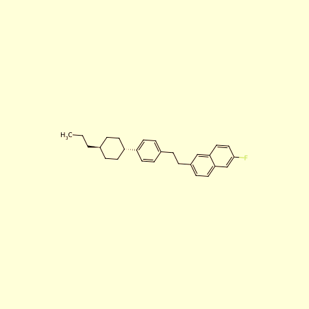 CCC[C@H]1CC[C@H](c2ccc(CCc3ccc4cc(F)ccc4c3)cc2)CC1